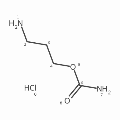 Cl.NCCCOC(N)=O